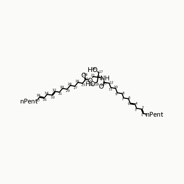 CCCCCC=CCC=CCCCCCCCC(=O)NC(CO)(CO)COC(=O)CCCCCCCC=CCC=CCCCCC